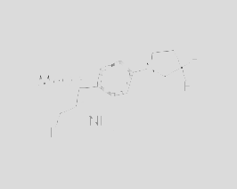 CO[C@H](c1ccc(N2CCC(F)(F)C2)cc1)[C@H](N)CF